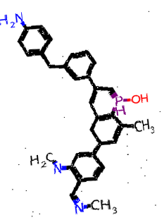 C=Nc1cc(C2C=C(C)C3=C(C=C(c4cccc(Cc5ccc(N)cc5)c4)C=[PH]3O)C2)ccc1/C=N\C